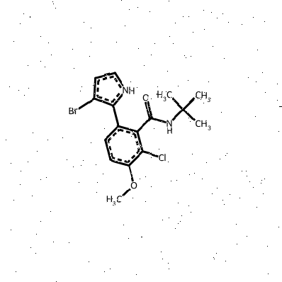 COc1ccc(-c2[nH]ccc2Br)c(C(=O)NC(C)(C)C)c1Cl